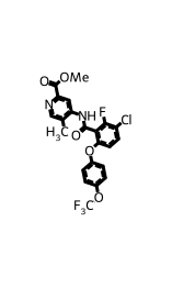 COC(=O)c1cc(NC(=O)c2c(Oc3ccc(OC(F)(F)F)cc3)ccc(Cl)c2F)c(C)cn1